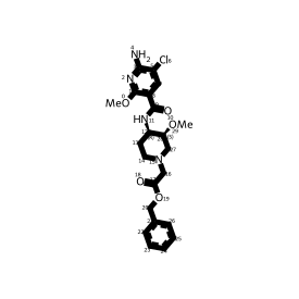 COc1nc(N)c(Cl)cc1C(=O)N[C@@H]1CCN(CC(=O)OCc2ccccc2)C[C@@H]1OC